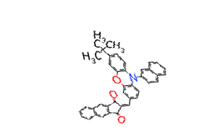 CC(C)(C)c1ccc2c(c1)Oc1cc(C=C3C(=O)c4cc5ccccc5cc4C3=O)ccc1N2c1ccc2ccccc2c1